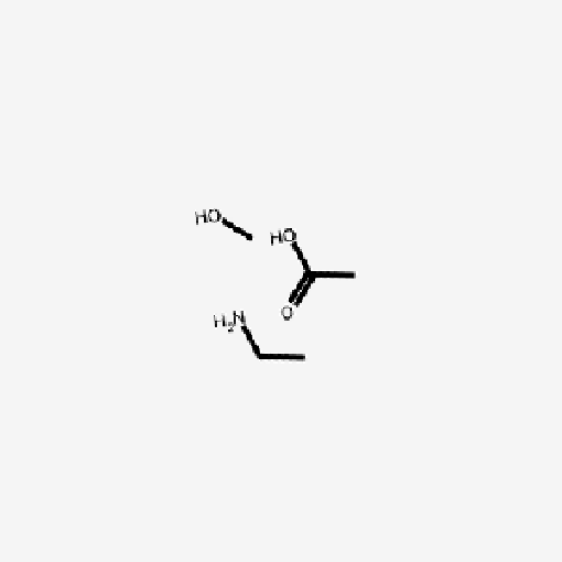 CC(=O)O.CCN.CO